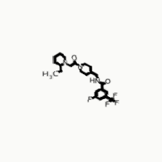 CCC1CCCCN1CC(=O)N1CCC(CNC(=O)c2cc(F)cc(C(F)(F)F)c2)CC1